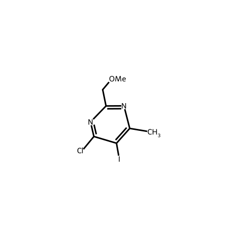 COCc1nc(C)c(I)c(Cl)n1